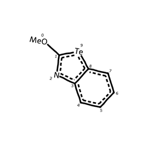 COc1nc2ccccc2[te]1